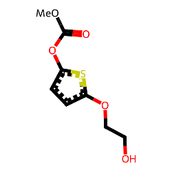 COC(=O)Oc1ccc(OCCO)s1